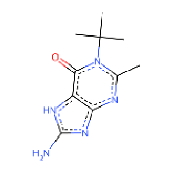 Cc1nc2nc(N)[nH]c2c(=O)n1C(C)(C)C